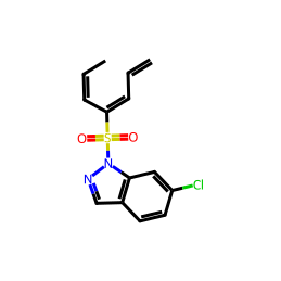 C=C/C=C(\C=C/C)S(=O)(=O)n1ncc2ccc(Cl)cc21